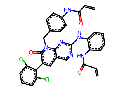 C=CC(=O)Nc1ccc(Cn2c(=O)c(-c3c(Cl)cccc3Cl)cc3cnc(Nc4ccccc4NC(=O)C=C)nc32)cc1